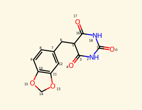 O=C1NC(=O)C(Cc2ccc3c(c2)OCO3)C(=O)N1